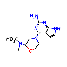 CN(C(=O)O)C1CN(c2nc(N)nc3[nH]ccc23)CCO1